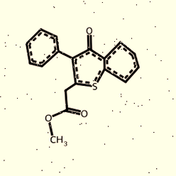 COC(=O)Cc1sc2ccccc2c(=O)c1-c1ccccc1